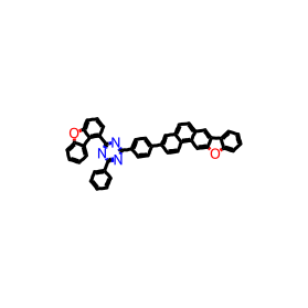 c1ccc(-c2nc(-c3ccc(-c4ccc5c(ccc6cc7c(cc65)oc5ccccc57)c4)cc3)nc(-c3cccc4oc5ccccc5c34)n2)cc1